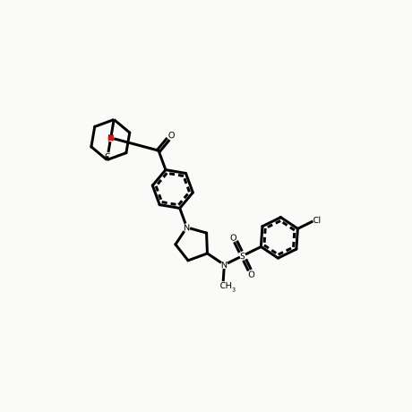 CN(C1CCN(c2ccc(C(=O)N3CC4CCC(CC4)C3)cc2)C1)S(=O)(=O)c1ccc(Cl)cc1